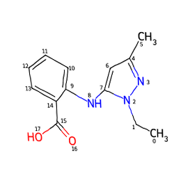 CCn1nc(C)cc1Nc1ccccc1C(=O)O